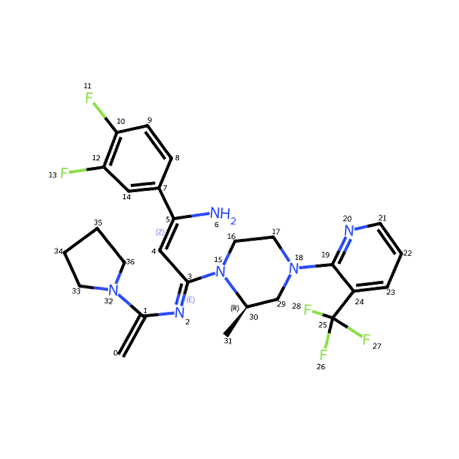 C=C(/N=C(\C=C(/N)c1ccc(F)c(F)c1)N1CCN(c2ncccc2C(F)(F)F)C[C@H]1C)N1CCCC1